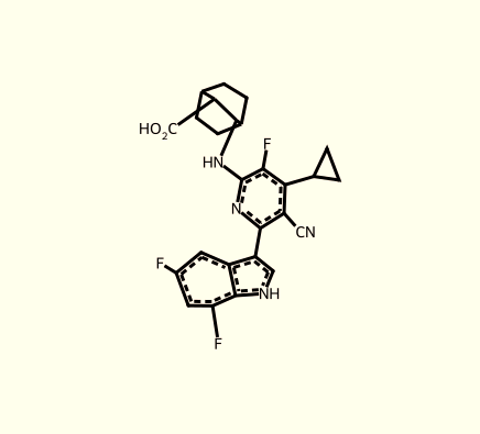 N#Cc1c(-c2c[nH]c3c(F)cc(F)cc23)nc(NC2C3CCC(CC3)C2C(=O)O)c(F)c1C1CC1